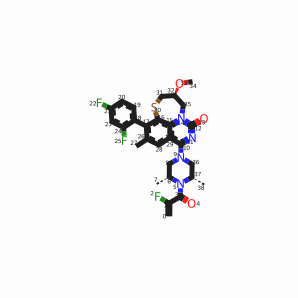 C=C(F)C(=O)N1[C@H](C)CN(c2nc(=O)n3c4c(c(-c5ccc(F)cc5F)c(C)cc24)SC[C@@H](OC)C3)C[C@@H]1C